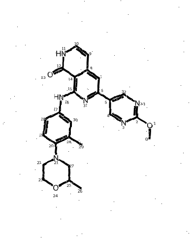 COc1ncc(-c2cc3cc[nH]c(=O)c3c(Nc3ccc(N4CCOC(C)C4)c(C)c3)n2)cn1